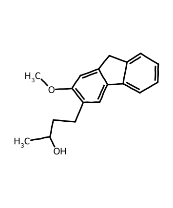 COc1cc2c(cc1CCC(C)O)-c1ccccc1C2